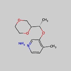 Cc1ccncc1O[C@@H](C)C1COCCO1.N